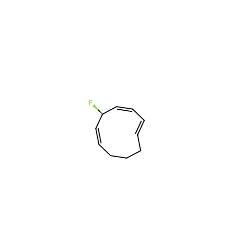 F[C@H]1/C=C\C=C\CCC/C=C\1